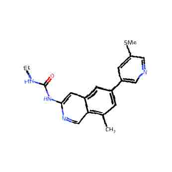 CCNC(=O)Nc1cc2cc(-c3cncc(SC)c3)cc(C)c2cn1